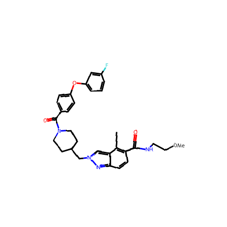 COCCNC(=O)c1ccc2nn(CC3CCN(C(=O)c4ccc(Oc5cccc(F)c5)cc4)CC3)cc2c1C